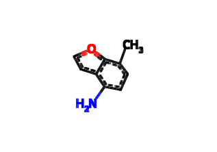 Cc1ccc(N)c2ccoc12